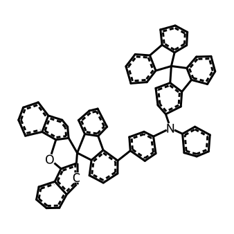 c1ccc(N(c2ccc(-c3cccc4c3-c3ccccc3C43c4ccc5ccccc5c4Oc4c3ccc3ccccc43)cc2)c2ccc3c(c2)-c2ccccc2C32c3ccccc3-c3ccccc32)cc1